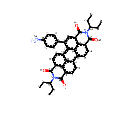 CCC(CC)N1C(=O)c2ccc3c4ccc5c6c(cc(-c7ccc(N)cc7)c(c7ccc(c2c37)C1=O)c64)C(=O)N(C(CC)CC)C5=O